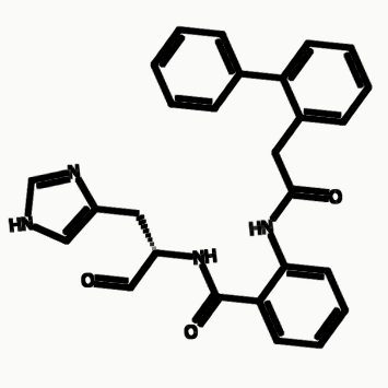 O=C[C@H](Cc1c[nH]cn1)NC(=O)c1ccccc1NC(=O)Cc1ccccc1-c1ccccc1